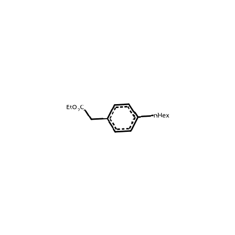 CCCCCCc1ccc(CC(=O)OCC)cc1